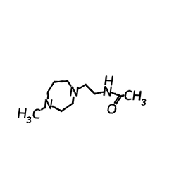 CC(=O)NCCN1CCCN(C)CC1